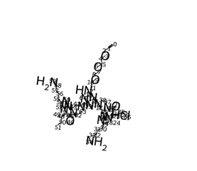 C#CCOCCOCCOCCNc1nc(N2CCN(C(=O)[C@H]([C@@H](C)CC)n3cc(CCCCN)nn3)CC2)nc(N2CCN(C(=O)[C@H]([C@@H](C)CC)n3cc(CCCCN)nn3)CC2)n1.Cl